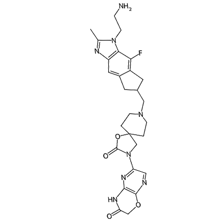 Cc1nc2cc3c(c(F)c2n1CCN)CC(CN1CCC2(CC1)CN(c1cnc4c(n1)NC(=O)CO4)C(=O)O2)C3